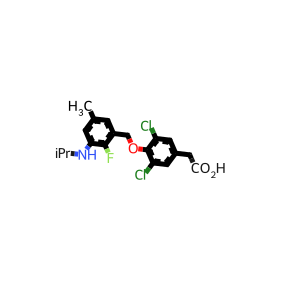 Cc1cc(COc2c(Cl)cc(CC(=O)O)cc2Cl)c(F)c(NC(C)C)c1